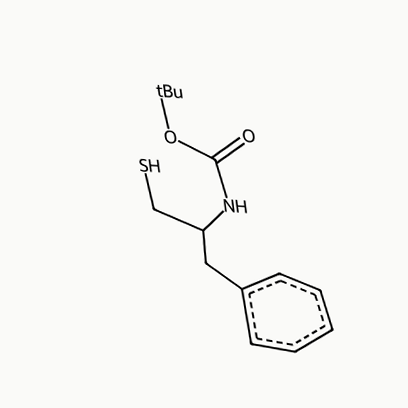 CC(C)(C)OC(=O)NC(CS)Cc1ccccc1